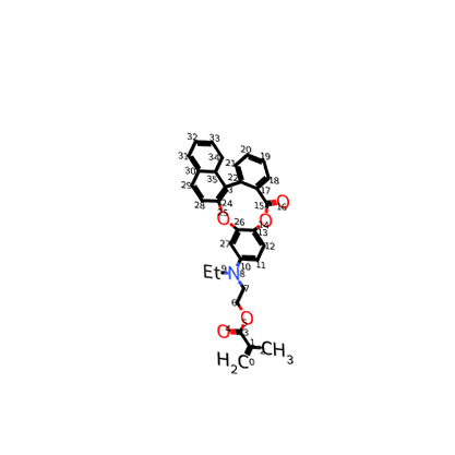 C=C(C)C(=O)OCCN(CC)c1ccc2oc(=O)c3ccccc3c3c(oc2c1)C=CC1=CC=CCC13